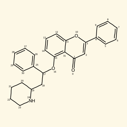 O=c1cc(-c2ccccc2)oc2cccc(OC(CC3CCCCN3)c3ccccc3)c12